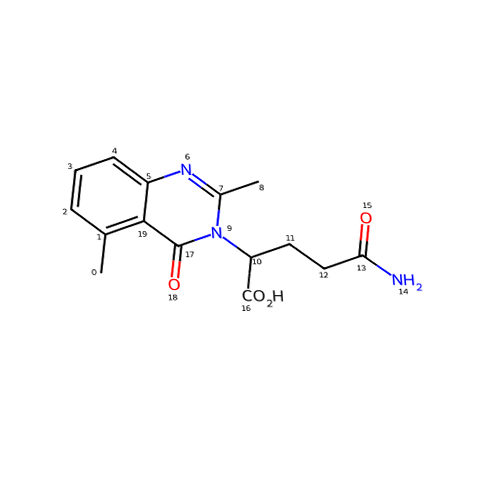 Cc1cccc2nc(C)n(C(CCC(N)=O)C(=O)O)c(=O)c12